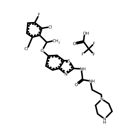 CC(Oc1ccc2nc(NC(=O)NCCN3CCNCC3)sc2c1)c1c(Cl)ccc(F)c1Cl.O=C(O)C(F)(F)F